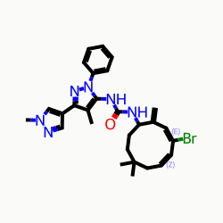 C=C1/C=C(Br)\C=C/CC(C)(C)CCC1NC(=O)Nc1c(C)c(-c2cnn(C)c2)nn1-c1ccccc1